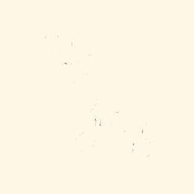 c1ccc(N(c2ccc(-c3ccc4c5c(cccc35)Oc3ccccc3-4)cc2)c2ccc3oc4ccccc4c3c2)cc1